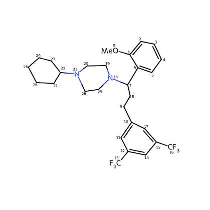 COc1ccccc1C([CH]Cc1cc(C(F)(F)F)cc(C(F)(F)F)c1)N1CCN(C2CCCCC2)CC1